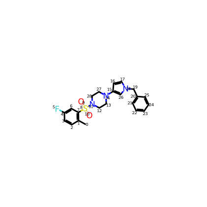 Cc1ccc(F)cc1S(=O)(=O)N1CCN(c2ccn(Cc3ccccc3)c2)CC1